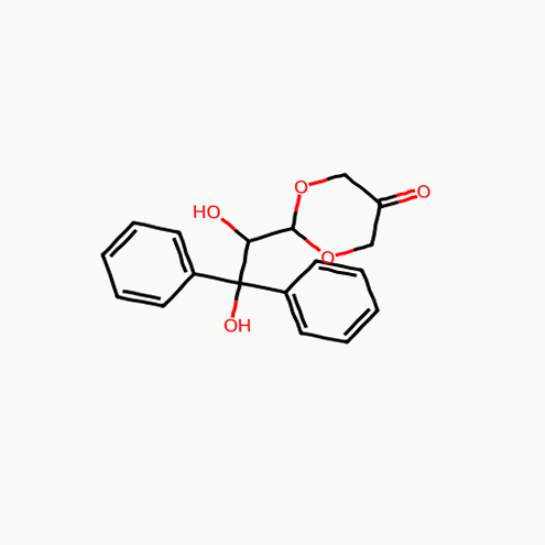 O=C1COC(C(O)C(O)(c2ccccc2)c2ccccc2)OC1